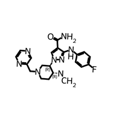 C=N[C@@H]1CCN(Cc2cnccn2)C[C@H]1n1cc(C(N)=O)c(Nc2ccc(F)cc2)n1